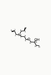 C=CCN(CC=C)CCCOCC(O)CC